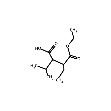 CCOC(=O)C(CC)C(C(=O)O)C(C)C